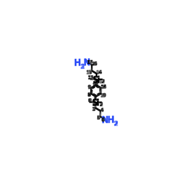 C[Si](C)(CCCN)c1ccc([Si](C)(C)CCCN)cc1